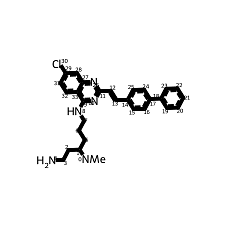 CNC(CCN)CCCNc1nc(C=Cc2ccc(-c3ccccc3)cc2)nc2cc(Cl)ccc12